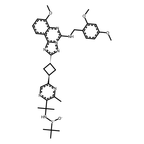 COc1ccc(CNc2nc3c(OC)cccc3c3nc([C@H]4C[C@H](c5cnc(C(C)(C)N[S+]([O-])C(C)(C)C)c(C)n5)C4)nn23)c(OC)c1